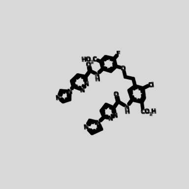 O=C(Nc1cc(OCCc2cc(NC(=O)c3ccc(-n4ccnc4)nn3)c(C(=O)O)cc2Cl)c(F)cc1C(=O)O)c1ccc(-n2ccnc2)nn1